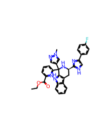 CCOC(=O)c1cccc(C2(c3cnn(C)c3)N[C@@H](c3nc(-c4ccc(F)cc4)c[nH]3)Cc3c2[nH]c2ccccc32)n1